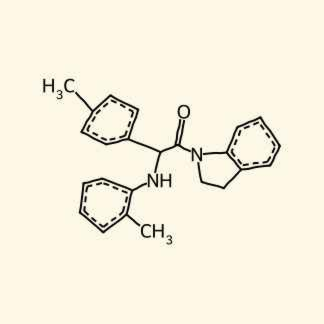 Cc1ccc(C(Nc2ccccc2C)C(=O)N2CCc3ccccc32)cc1